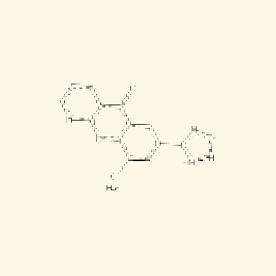 O=c1c2cccnc2oc2c(Cl)cc(-c3nnn[nH]3)cc12.[Na]